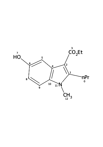 CCCc1c(C(=O)OCC)c2cc(O)ccc2n1C